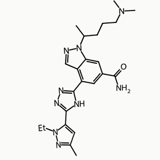 CCn1nc(C)cc1-c1nnc(-c2cc(C(N)=O)cc3c2cnn3C(C)CCCN(C)C)[nH]1